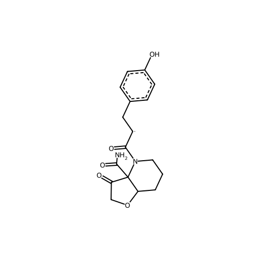 NC(=O)C12C(=O)COC1CCCN2C(=O)[CH]Cc1ccc(O)cc1